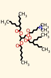 CCCCCCCC(=O)OCC(COC(=O)CC(CCCCC)CCCCC)C(COC(=O)CCCCN(C)C)OC(=O)CC(CCCCC)CCCCC